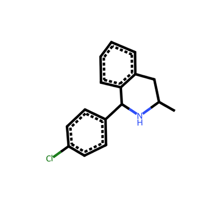 CC1Cc2ccccc2C(c2ccc(Cl)cc2)N1